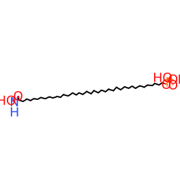 O=C(CCCCCCCCCCCCCCCCCCCCCCCCCCCCCCCCCCCCCCOP(=O)(O)O)NO